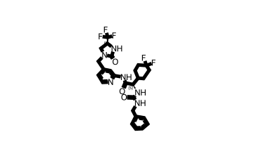 O=C(NCc1ccccc1)N[C@H](C(=O)Nc1cc(CN2C[C@@H](C(F)(F)F)NC2=O)ccn1)C1CCC(F)(F)CC1